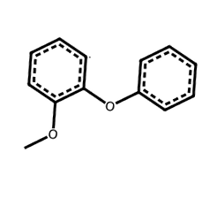 COc1ccc[c]c1Oc1ccccc1